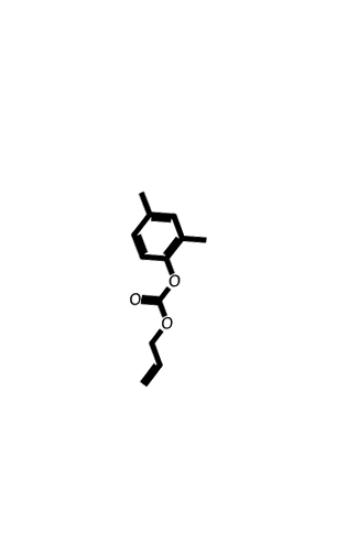 C=CCOC(=O)Oc1ccc(C)cc1C